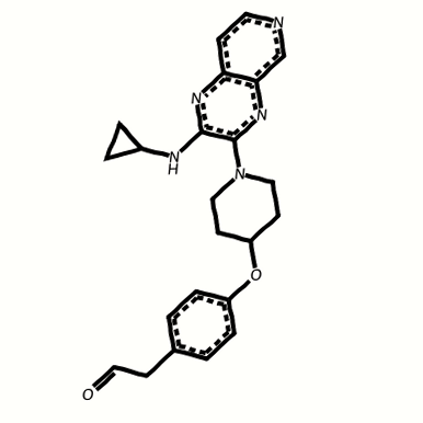 O=CCc1ccc(OC2CCN(c3nc4cnccc4nc3NC3CC3)CC2)cc1